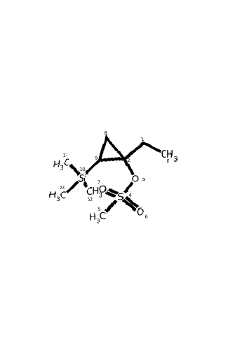 CCC1(OS(C)(=O)=O)CC1[Si](C)(C)C